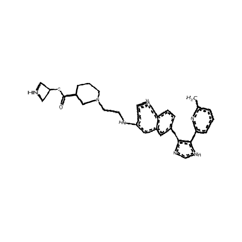 Cc1cccc(-c2[nH]cnc2-c2ccc3ncc(NCCN4CCCC(C(=O)OC5CNC5)C4)cc3c2)n1